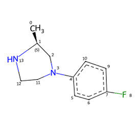 C[C@H]1CN(c2ccc(F)cc2)CCN1